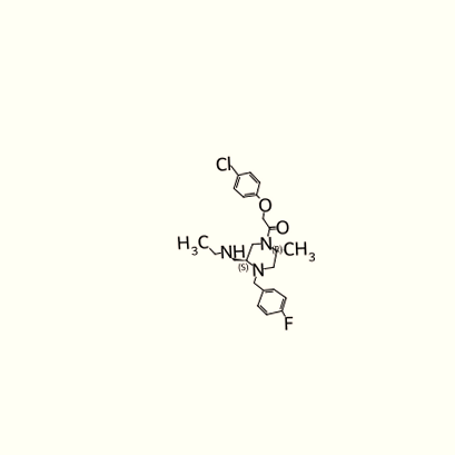 CCNC[C@H]1CN(C(=O)COc2ccc(Cl)cc2)[C@H](C)CN1Cc1ccc(F)cc1